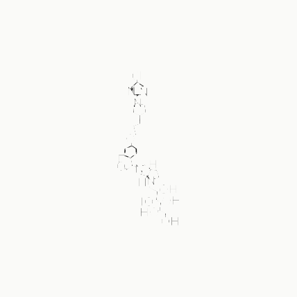 O=CC(c1ccc(OCCCC2CCN(c3ncc(Cl)cn3)CC2)cc1F)N1C[C@@H]2CCN(C[C@H](O)[C@@H](O)[C@H](O)[C@H](O)CO)[C@@H]2C1